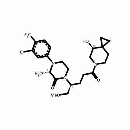 COC[C@H](CCC(=O)N1CCC2(CC2)[C@H](O)C1)N1CCN(c2ccc(C(F)(F)F)c(Cl)c2)[C@@H](C)C1=O